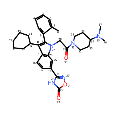 Cc1ccccc1-c1c(C2CCCCC2)c2ccc(-c3noc(=O)[nH]3)cc2n1CC(=O)N1CCC(N(C)C)CC1